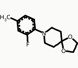 Cc1ccc(N2CCC3(CC2)OCCO3)c(F)c1